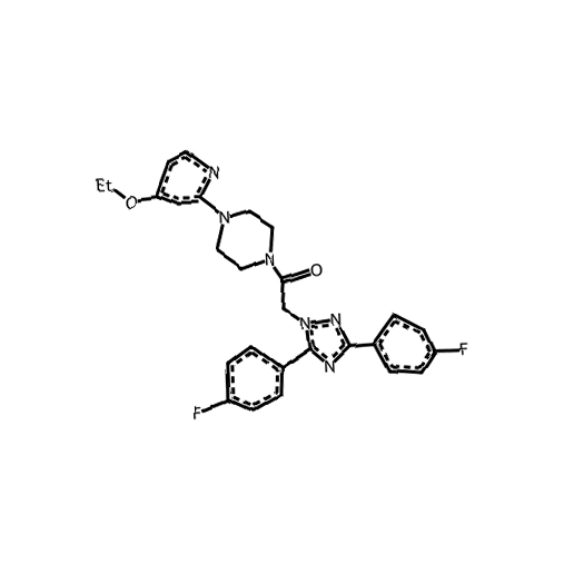 CCOc1ccnc(N2CCN(C(=O)Cn3nc(-c4ccc(F)cc4)nc3-c3ccc(F)cc3)CC2)c1